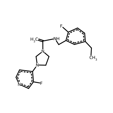 C=C(NCc1cc(CC)ccc1F)N1CCN(c2ccncc2F)C1